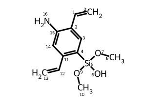 C=Cc1cc([Si](O)(OC)OC)c(C=C)cc1N